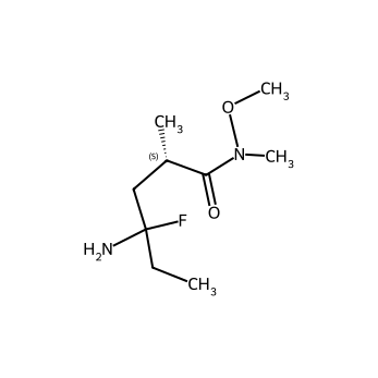 CCC(N)(F)C[C@H](C)C(=O)N(C)OC